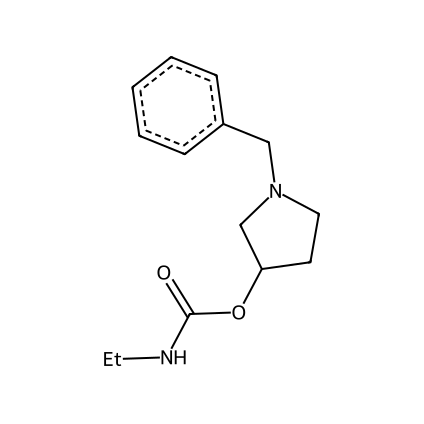 CCNC(=O)OC1CCN(Cc2ccccc2)C1